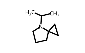 CC(C)N1CCCC12CC2